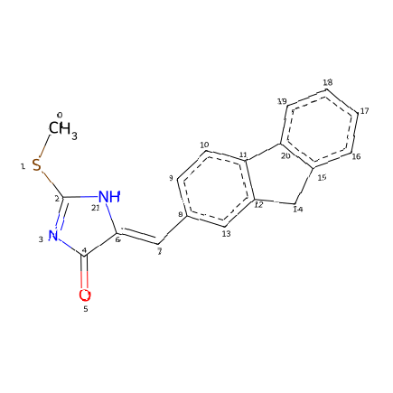 CSC1=NC(=O)/C(=C/c2ccc3c(c2)Cc2ccccc2-3)N1